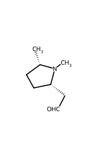 C[C@H]1CC[C@@H](CC=O)N1C